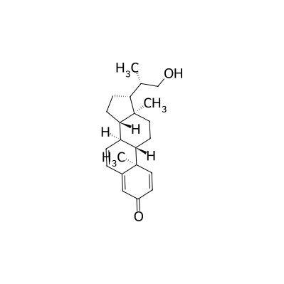 C[C@H](CO)[C@H]1CC[C@H]2[C@@H]3C=CC4=CC(=O)C=C[C@]4(C)[C@H]3CC[C@]12C